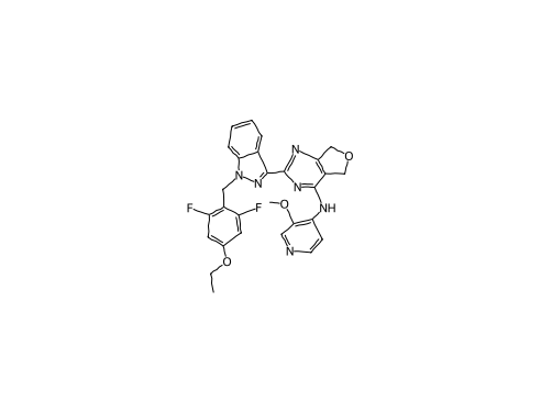 CCOc1cc(F)c(Cn2nc(-c3nc4c(c(Nc5ccncc5OC)n3)COC4)c3ccccc32)c(F)c1